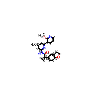 COc1ncccc1-c1cc(C)cc(NC(=O)C2(c3ccc4c(c3)CCO4)CC2)n1